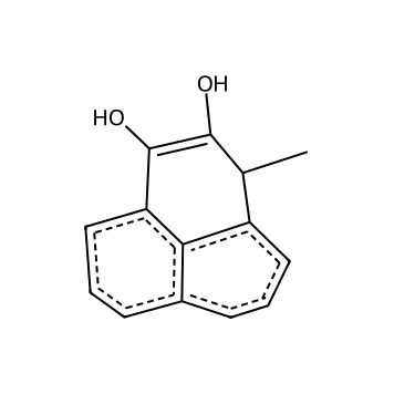 CC1C(O)=C(O)c2cccc3cccc1c23